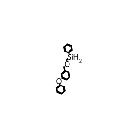 c1ccc(Oc2cccc(COC[SiH2]c3ccccc3)c2)cc1